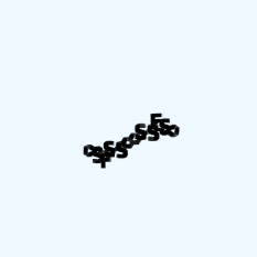 Fc1cc(-c2cc3cc4cc5sc(-c6cc(F)c(-c7cc8ccccc8s7)s6)cc5cc4cc3s2)sc1-c1cc2ccccc2s1